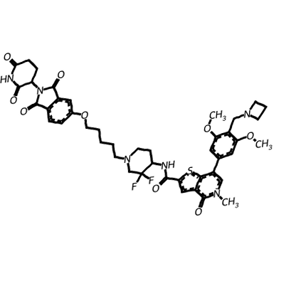 COc1cc(-c2cn(C)c(=O)c3cc(C(=O)NC4CCN(CCCCCOc5ccc6c(c5)C(=O)N(C5CCC(=O)NC5=O)C6=O)CC4(F)F)sc23)cc(OC)c1CN1CCC1